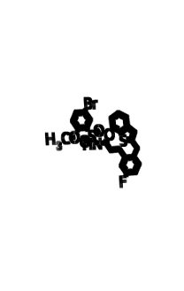 COc1ccc(Br)cc1S(=O)(=O)NC(=O)C=Cc1cc(F)ccc1Cc1cc2ccccc2s1